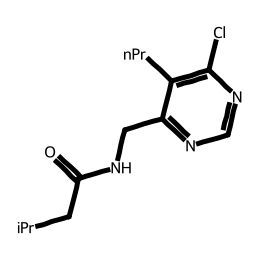 CCCc1c(Cl)ncnc1CNC(=O)CC(C)C